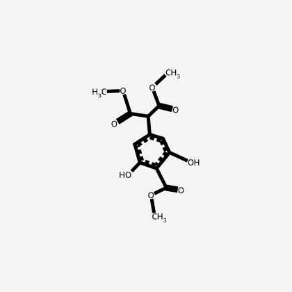 COC(=O)c1c(O)cc(C(C(=O)OC)C(=O)OC)cc1O